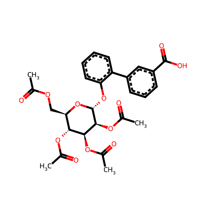 CC(=O)OC[C@H]1O[C@H](Oc2ccccc2-c2cccc(C(=O)O)c2)[C@@H](OC(C)=O)[C@@H](OC(C)=O)[C@@H]1OC(C)=O